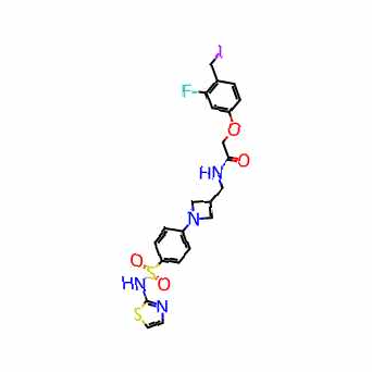 O=C(COc1ccc(CI)c(F)c1)NCC1CN(c2ccc(S(=O)(=O)Nc3nccs3)cc2)C1